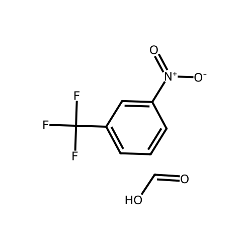 O=CO.O=[N+]([O-])c1cccc(C(F)(F)F)c1